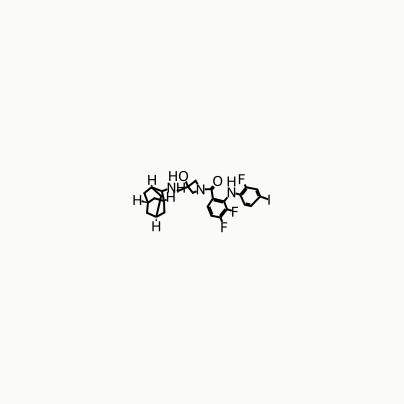 O=C(c1ccc(F)c(F)c1Nc1ccc(I)cc1F)N1CC(O)(CNC2[C@H]3C[C@@H]4C[C@@H](C[C@H]2C4)C3)C1